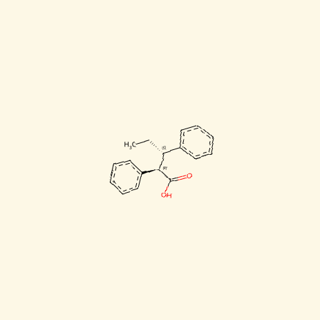 CC[C@H](c1ccccc1)[C@@H](C(=O)O)c1ccccc1